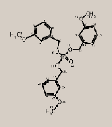 COc1cccc(COP(=O)(OCc2cccc(OC)c2)OCc2cccc(OC)c2)c1